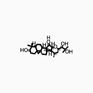 C[C@@H]1C[C@H]([C@@H](O)C(C)(C)O)O[C@H]2[C@H]1[C@@]1(C)CC[C@@]34CC35CC[C@H](O)C(C)(C)[C@@H]5CC[C@H]4[C@]1(C)[C@H]2O